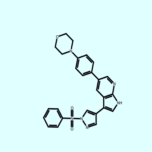 O=S(=O)(c1ccccc1)n1cc(-c2c[nH]c3ncc(-c4ccc(N5CCOCC5)cc4)cc23)cn1